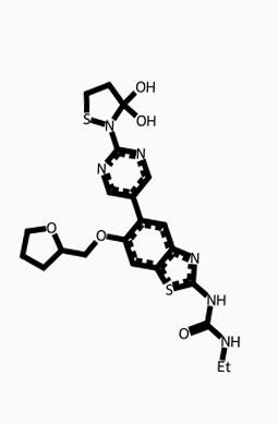 CCNC(=O)Nc1nc2cc(-c3cnc(N4SCCC4(O)O)nc3)c(OCC3CCCO3)cc2s1